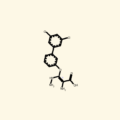 NN/C(Oc1cccc(-c2cc(Cl)cc(Cl)c2)c1)=C(\N)C(=O)O